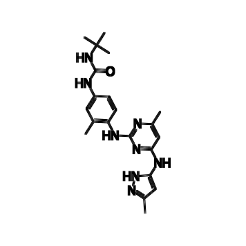 Cc1cc(Nc2cc(C)nc(Nc3ccc(NC(=O)NC(C)(C)C)cc3C)n2)[nH]n1